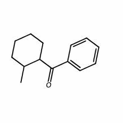 CC1CCCCC1C(=O)c1ccccc1